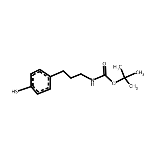 CC(C)(C)OC(=O)NCCCc1ccc(S)cc1